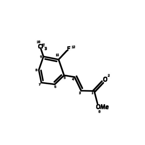 COC(=O)C=Cc1cccc(C(F)(F)F)c1F